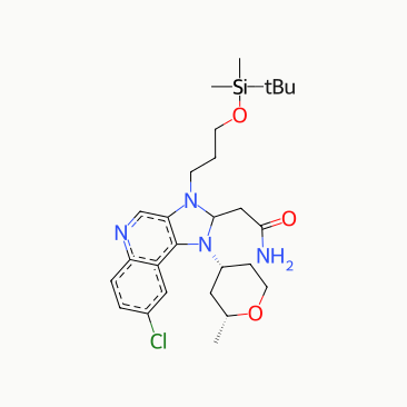 C[C@@H]1C[C@H](N2c3c(cnc4ccc(Cl)cc34)N(CCCO[Si](C)(C)C(C)(C)C)C2CC(N)=O)CCO1